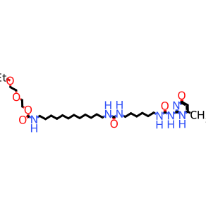 CCOCCOCCOC(=O)NCCCCCCCCCCCCNC(=O)NCCCCCCNC(=O)Nc1nc(=O)cc(C)[nH]1